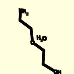 NCCOCCO.O